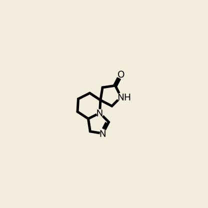 O=C1CC2(CCCC3CN=CN32)CN1